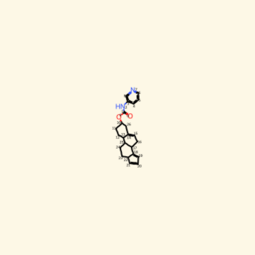 O=C(Nc1cccnc1)OC1CCC2C(=CCC3C4=CC=CC4CCC23)C1